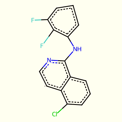 Fc1cccc(Nc2nc[c]c3c(Cl)cccc23)c1F